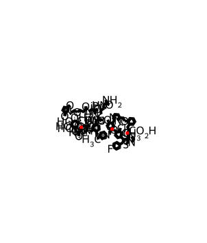 COc1ccccc1-c1nccc(COc2ccccc2C[C@@H](Oc2ncnc3sc(-c4ccc(F)cc4)c(-c4ccc(OCCN5CC[N+](C)(Cc6ccc(NC(=O)[C@H](CCCNC(N)=O)NC(=O)[C@@H](NC(=O)CCOCCN7C(=O)C=CC7=O)C(C)C)cc6CN(C)C(=O)C[C@H](NC(=O)OC6O[C@H](C(=O)O)[C@@H](O)[C@H](O)[C@H]6O)C(=O)O)CC5)c(Cl)c4C)c23)C(=O)O)n1